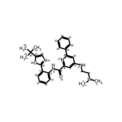 CN(C)CCNc1cc(C(=O)Nc2ccccc2-c2ncc(C(C)(C)C)o2)nc(-c2ccccc2)c1